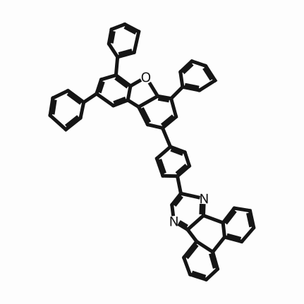 c1ccc(-c2cc(-c3ccccc3)c3oc4c(-c5ccccc5)cc(-c5ccc(-c6cnc7c8ccccc8c8ccccc8c7n6)cc5)cc4c3c2)cc1